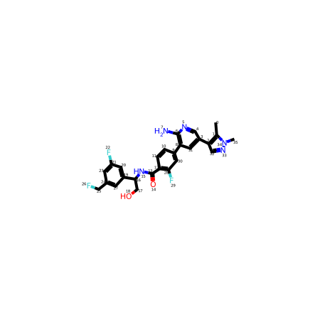 Cc1c(-c2cnc(N)c(-c3ccc(C(=O)NC(CO)c4cc(F)cc(CF)c4)c(F)c3)c2)cnn1C